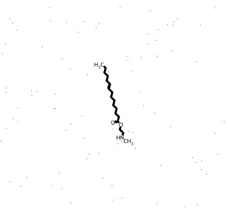 CCCCC/C=C/CCCCCCCC(=O)OCCNC